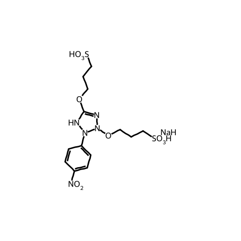 O=[N+]([O-])c1ccc(N2NC(OCCCS(=O)(=O)O)=NN2OCCCS(=O)(=O)O)cc1.[NaH]